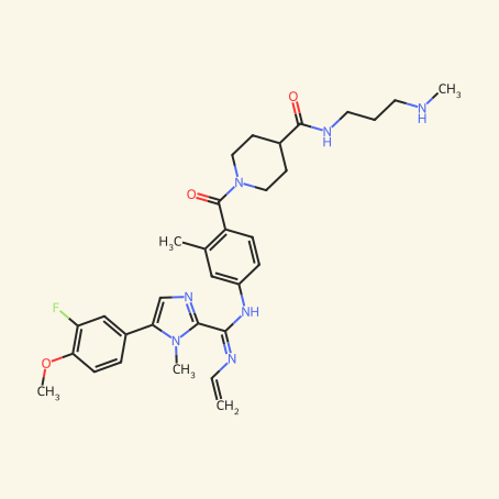 C=C/N=C(/Nc1ccc(C(=O)N2CCC(C(=O)NCCCNC)CC2)c(C)c1)c1ncc(-c2ccc(OC)c(F)c2)n1C